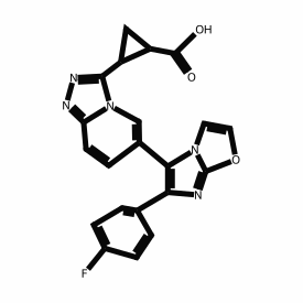 O=C(O)C1CC1c1nnc2ccc(-c3c(-c4ccc(F)cc4)nc4occn34)cn12